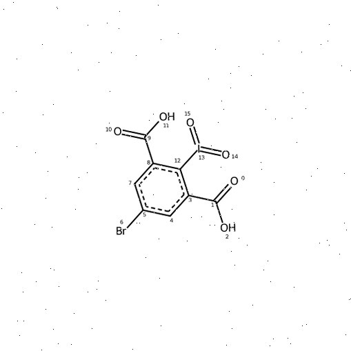 O=C(O)c1cc(Br)cc(C(=O)O)c1I(=O)=O